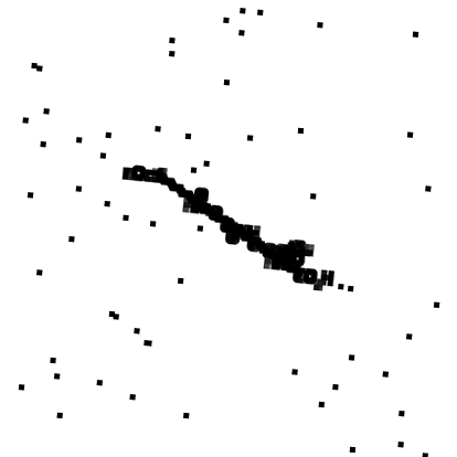 CCCCCCCCSCCCCCCCC(=O)NCCOCCOCC(=O)NCCOCCOCC(=O)NC(CCC(=O)O)C(=O)OC(C)(C)C